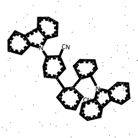 N#Cc1cc(-c2cccc(C#N)c2-c2ccccc2-n2c3ccccc3c3ccccc32)ccc1-n1c2ccccc2c2ccccc21